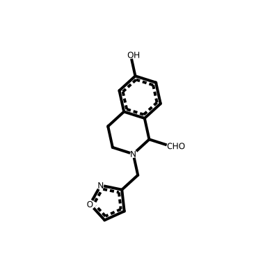 O=CC1c2ccc(O)cc2CCN1Cc1ccon1